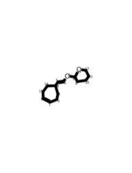 C1=CCCC(C=COC2CCCCO2)CC1